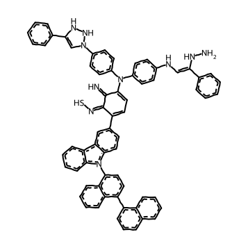 N=C1C(N(c2ccc(N/C=C(\NN)c3ccccc3)cc2)c2ccc(N3C=C(c4ccccc4)NN3)cc2)=CC=C(c2ccc3c(c2)c2ccccc2n3-c2ccc(-c3cccc4ccccc34)c3ccccc23)/C1=N/S